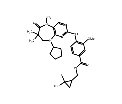 COc1cc(C(=O)NCC2CC2(C)F)ccc1Nc1ncc2c(n1)N(C1CCCC1)CC(C)(C)C(=O)N2C